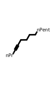 CCCC#CCCCCCCCCC